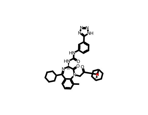 Cc1cccc2c1N(CC(=O)N1CC3CCC(CC3)C1)C(=O)[C@H](NC(=O)Nc1cccc(-c3nnn[nH]3)c1)N=C2C1CCCCC1